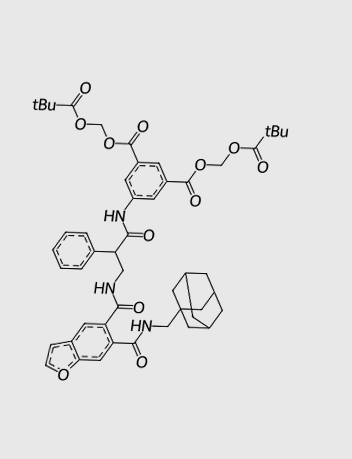 CC(C)(C)C(=O)OCOC(=O)c1cc(NC(=O)C(CNC(=O)c2cc3ccoc3cc2C(=O)NCC23CC4CC(CC(C4)C2)C3)c2ccccc2)cc(C(=O)OCOC(=O)C(C)(C)C)c1